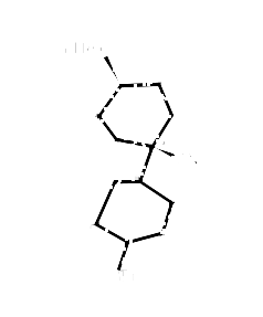 CCCCCC[C@H]1CC[C@](C#N)(C2CCC(CCC)CC2)CC1